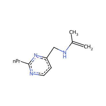 C=C(C)NCc1ccnc(CCC)n1